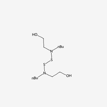 CCCCN(CCO)SSN(CCO)CCCC